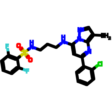 Bc1cnn2c(NCCCNS(=O)(=O)c3c(F)cccc3F)cc(-c3ccccc3Cl)nc12